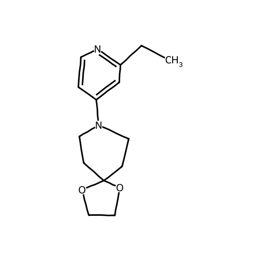 CCc1cc(N2CCC3(CC2)OCCO3)ccn1